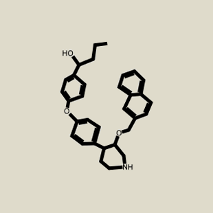 CCCC(O)c1ccc(Oc2ccc(C3CCNCC3OCc3ccc4ccccc4c3)cc2)cc1